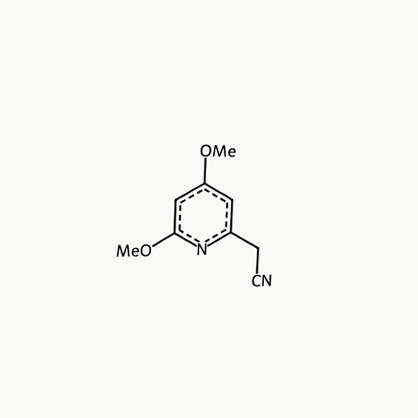 COc1cc(CC#N)nc(OC)c1